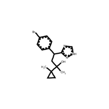 CC(O)(CC(c1ccc(Br)cc1)c1nc[nH]n1)C1(C)CC1